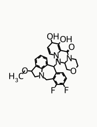 COC1CN2Cc3c(ccc(F)c3F)C(N3C4COCCN4C(=O)C4=C(O)C(O)C=CN43)c3cccc1c32